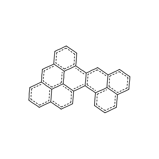 c1cc2cccc3c2c(c1)cc1c2cccc4cc5cccc6ccc(c13)c(c65)c42